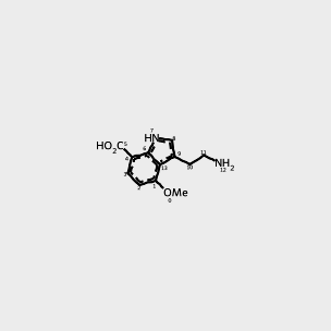 COc1ccc(C(=O)O)c2[nH]cc(CCN)c12